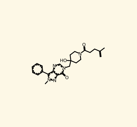 C=C(C)CCC(=O)N1CCC(O)(Cn2cnc3c(-c4ccccc4)n(C)nc3c2=O)CC1